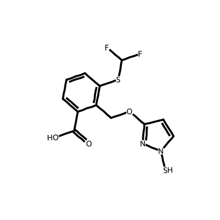 O=C(O)c1cccc(SC(F)F)c1COc1ccn(S)n1